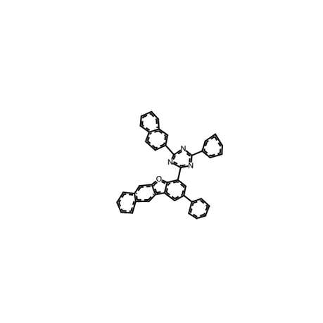 c1ccc(-c2cc(-c3nc(-c4ccccc4)nc(-c4ccc5ccccc5c4)n3)c3oc4cc5ccccc5cc4c3c2)cc1